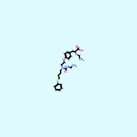 CCNC(=O)N(CCCCSc1ccccc1)CCOc1ccc(CC(OCC)C(=O)O)cc1